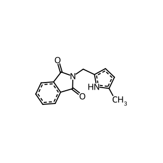 Cc1ccc(CN2C(=O)c3ccccc3C2=O)[nH]1